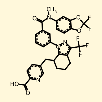 CN(C(=O)c1cccc(-n2nc(C(F)(F)F)c3c2C(Cc2ccc(C(=O)O)nc2)CCC3)c1)c1ccc2c(c1)OC(F)(F)O2